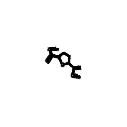 C=C(OC)C1CCC(C(=C)OC)O1